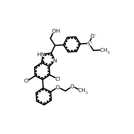 CC[S+]([O-])c1ccc(C(CO)c2nc3c(Cl)c(-c4ccccc4OCOC)c(Cl)cc3[nH]2)cc1